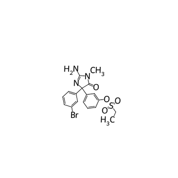 CCS(=O)(=O)Oc1cccc(C2(c3cccc(Br)c3)N=C(N)N(C)C2=O)c1